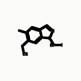 Cc1cc2cnn(PI)c2cc1CC#N